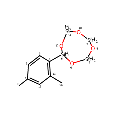 Cc1ccc([SiH]2O[SiH2]O[SiH2]O[SiH2]O2)c(C)c1